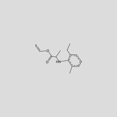 CCc1cccc(C)c1NC(C)C(=O)OC=S